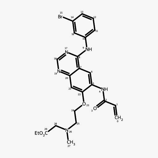 C=CC(=O)Nc1cc2c(Nc3cccc(Br)c3)ncnc2cc1OCCN(C)CC(=O)OCC